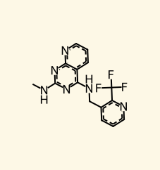 CNc1nc(NCc2cccnc2C(F)(F)F)c2cccnc2n1